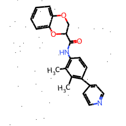 Cc1c(NC(=O)C2COc3ccccc3O2)ccc(-c2ccncc2)c1C